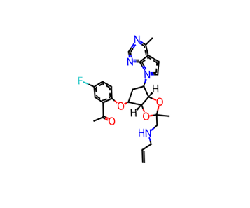 C=CCNCC1(C)O[C@@H]2[C@H](O1)[C@@H](Oc1ccc(F)cc1C(C)=O)C[C@H]2n1ccc2c(C)ncnc21